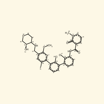 COc1nc(-c2cccc(-c3cccc(NC(=O)c4ccnn(C)c4=O)c3Cl)c2Cl)c(F)cc1CNC1CCOC[C@@H]1O